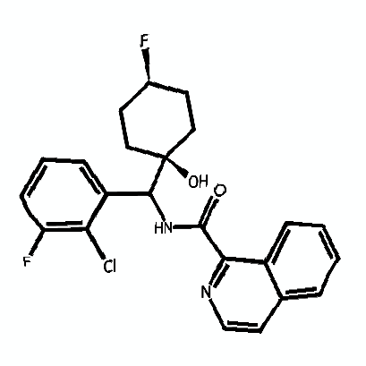 O=C(NC(c1cccc(F)c1Cl)[C@]1(O)CC[C@@H](F)CC1)c1nccc2ccccc12